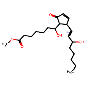 CCCCCC(O)/C=C/C1C=CC(=O)C1C(O)CCCCCC(=O)OC